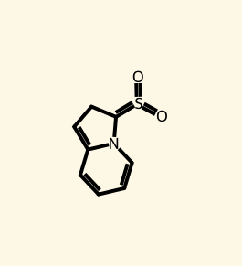 O=S(=O)=C1CC=C2C=CC=CN21